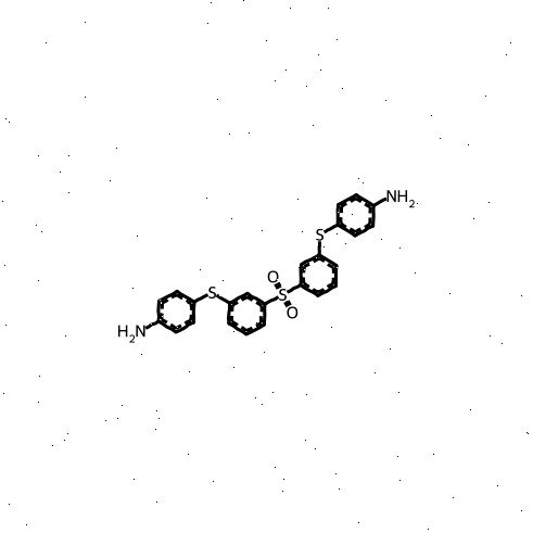 Nc1ccc(Sc2cccc(S(=O)(=O)c3cccc(Sc4ccc(N)cc4)c3)c2)cc1